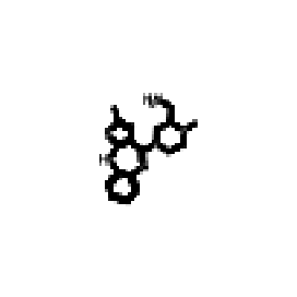 Cc1cc2c(s1)Nc1ccccc1N=C2N1CCN(C)C(CN)C1